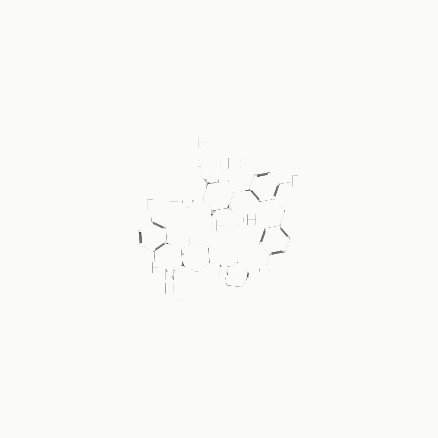 CS[C@H]1O[C@@H](c2cc(Cc3ccc(O[C@@H]4CCN([C@H]5CO[C@H](c6cc(F)ccc6F)[C@@H](N)C5)C4)cc3)c(F)cc2C)[C@H](O)[C@@H](O)[C@@H]1O